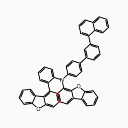 c1cc(-c2ccc(N(c3ccccc3-c3cccc4oc5ccccc5c34)c3cccc4c3oc3ccccc34)cc2)cc(-c2cccc3ccccc23)c1